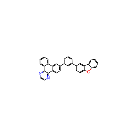 c1cc(-c2ccc3oc4ccccc4c3c2)cc(-c2ccc3c(c2)c2ccccc2c2nccnc32)c1